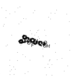 O=C(O)N1CCN(c2cc(F)c3c(n2)CC[C@H](N(Cc2ccccc2)C(=O)OCc2ccccc2)C3)CC1